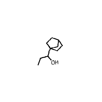 CCC(O)C12CCC(CC1)C2